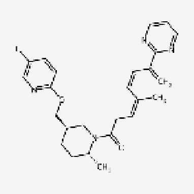 C=C(/C=C\C(C)=C/CC(=O)N1C[C@H](COc2ccc(F)cn2)CC[C@H]1C)c1ncccn1